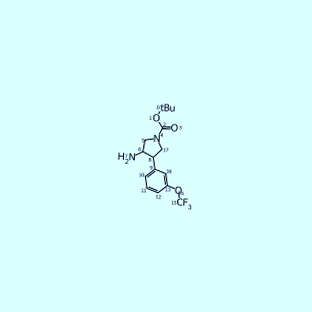 CC(C)(C)OC(=O)N1CC(N)C(c2cccc(OC(F)(F)F)c2)C1